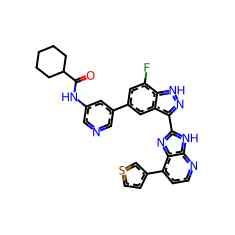 O=C(Nc1cncc(-c2cc(F)c3[nH]nc(-c4nc5c(-c6ccsc6)ccnc5[nH]4)c3c2)c1)C1CCCCC1